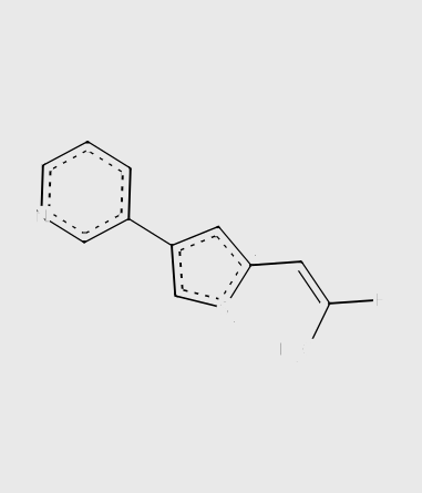 [CH2]/C(F)=C\c1cc(-c2cccnc2)cs1